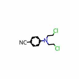 N#Cc1ccc(N(CCCl)CCCl)cc1